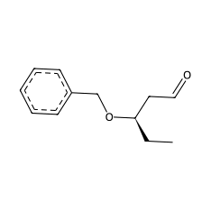 CC[C@H](CC=O)OCc1ccccc1